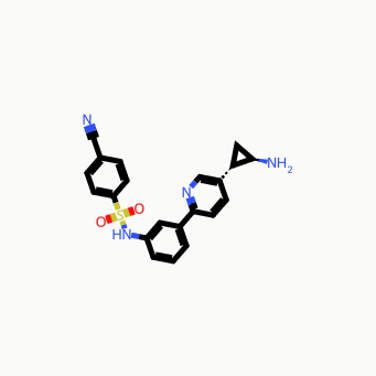 N#Cc1ccc(S(=O)(=O)Nc2cccc(-c3ccc([C@@H]4C[C@H]4N)cn3)c2)cc1